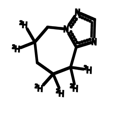 [2H]C1([2H])Cn2ncnc2C([2H])([2H])C([2H])([2H])C1